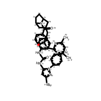 Cc1ccc(-n2nc(C(C)(C)C)cc2NC(=O)Nc2ccc(CC3CC4CCC(C3)N4C(=O)c3cccc(Nc4nc(C)cc(C)n4)c3)cc2)cc1